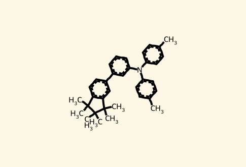 Cc1ccc(N(c2ccc(C)cc2)c2cccc(-c3ccc4c(c3)C(C)(C)C(C)(C)C4(C)C)c2)cc1